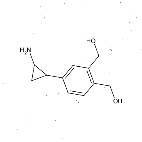 NC1CC1c1ccc(CO)c(CO)c1